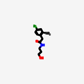 O=C(Cc1ccc(Br)cc1[N+](=O)[O-])NCCCO